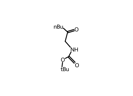 CCCCC(=O)CNC(=O)OC(C)(C)C